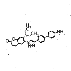 CCN(CC)c1cc2oc(=O)ccc2cc1-n1cc(-c2ccc(-c3ccc(N)cc3)cc2)nn1